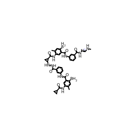 Bc1cc(C)c(NC(=O)C2CC2)cc1C(=O)Nc1cccc(C(=O)NNC2CC2C(=O)Nc2cc(C(=O)Nc3cccc(C(=O)N/N=C/NC)c3)c(B)cc2C)c1